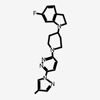 Cc1cnn(-c2ccc(N3CCC(N4CCc5ccc(F)cc54)CC3)nn2)c1